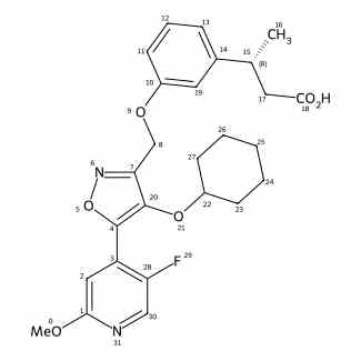 COc1cc(-c2onc(COc3cccc([C@H](C)CC(=O)O)c3)c2OC2CCCCC2)c(F)cn1